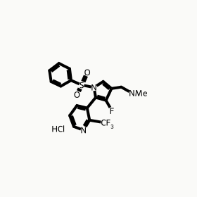 CNCc1cn(S(=O)(=O)c2ccccc2)c(-c2cccnc2C(F)(F)F)c1F.Cl